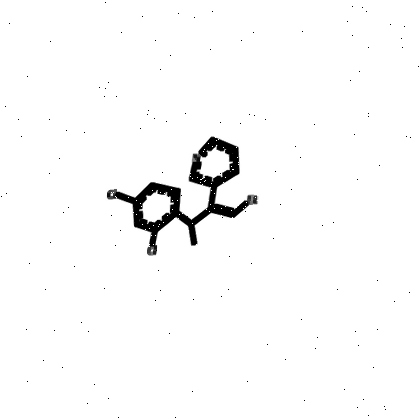 CC/C=C(\c1cccnc1)C(C)c1ccc(Cl)cc1Cl